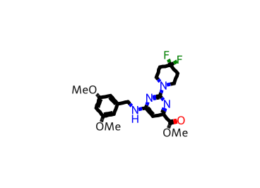 COC(=O)c1cc(NCc2cc(OC)cc(OC)c2)nc(N2CCC(F)(F)CC2)n1